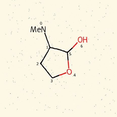 CNC1CCOC1O